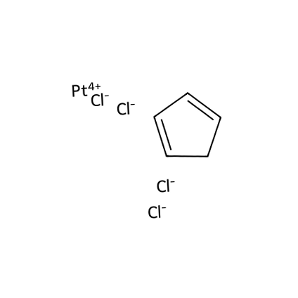 C1=CCC=C1.[Cl-].[Cl-].[Cl-].[Cl-].[Pt+4]